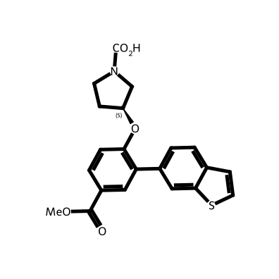 COC(=O)c1ccc(O[C@H]2CCN(C(=O)O)C2)c(-c2ccc3ccsc3c2)c1